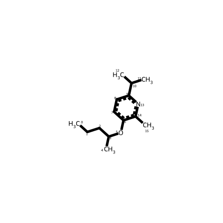 CCCC(C)Oc1ccc(C(C)C)nc1C